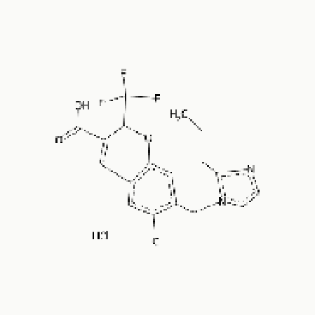 CCCc1nccn1Cc1cc2c(cc1Cl)C=C(C(=O)O)C(C(F)(F)F)O2.Cl